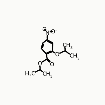 CC(C)OC(=O)c1ccc([N+](=O)[O-])cc1OC(C)C